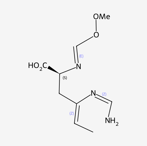 C/C=C(C[C@H](/N=C/OOC)C(=O)O)\N=C/N